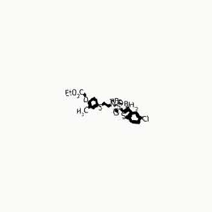 Bc1c(S(=O)(=O)N(CCC)CCSc2ccc(OCC(=O)OCC)c(C)c2)sc2ccc(Cl)cc12